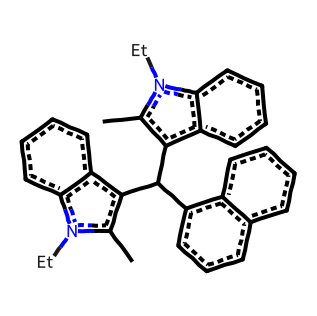 CCn1c(C)c(C(c2cccc3ccccc23)c2c(C)n(CC)c3ccccc23)c2ccccc21